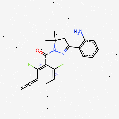 C=C=C/C(F)=C(C(=O)N1N=C(c2ccccc2N)CC1(C)C)\C(F)=C/C